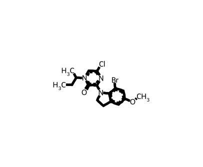 CCC(C)n1cc(Cl)nc(N2CCc3cc(OC)cc(Br)c32)c1=O